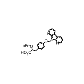 CCCOC(Cc1ccc(OCn2c3ncccc3c3cccnc32)cc1)C(=O)O